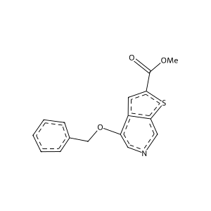 COC(=O)c1cc2c(OCc3ccccc3)cncc2s1